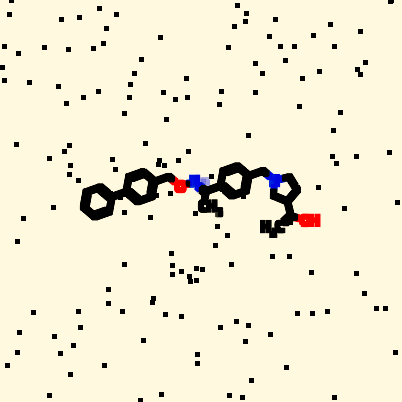 C=C(O)C1CCN(Cc2ccc(/C(C)=N/OCc3ccc(-c4ccccc4)cc3)cc2)C1